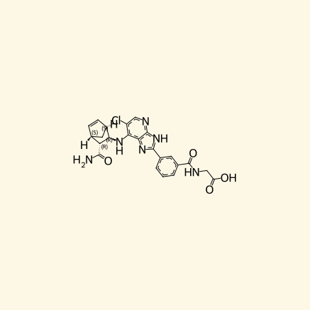 NC(=O)[C@H]1[C@H](Nc2c(Cl)cnc3[nH]c(-c4cccc(C(=O)NCC(=O)O)c4)nc23)[C@@H]2C=C[C@@H]1C2